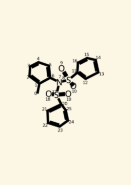 Cc1ccccc1N(S(=O)(=O)c1ccccc1)S(=O)(=O)c1ccccc1